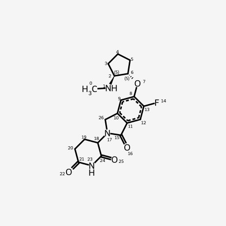 CN[C@H]1CCC[C@@H]1Oc1cc2c(cc1F)C(=O)N(C1CCC(=O)NC1=O)C2